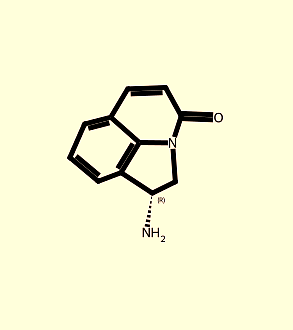 N[C@H]1Cn2c(=O)ccc3cccc1c32